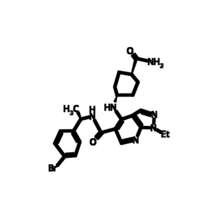 CCn1ncc2c(N[C@H]3CC[C@H](C(N)=O)CC3)c(C(=O)N[C@H](C)c3ccc(Br)cc3)cnc21